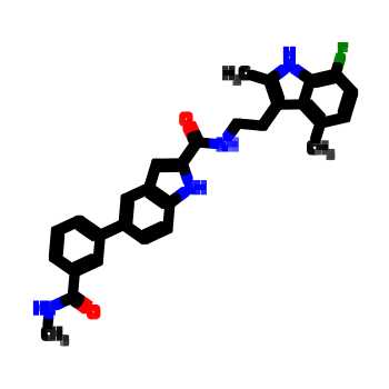 CNC(=O)c1cccc(-c2ccc3[nH]c(C(=O)NCCc4c(C)[nH]c5c(F)ccc(C)c45)cc3c2)c1